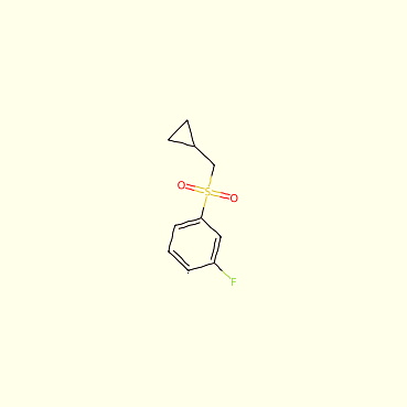 O=S(=O)(CC1CC1)c1cc[c]c(F)c1